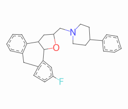 Fc1ccc2c(c1)C1OC(CN3CCC(c4ccccc4)CC3)CC1c1ccccc1C2